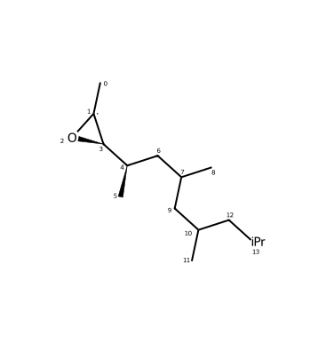 C[C]1O[C@@H]1[C@H](C)CC(C)CC(C)CC(C)C